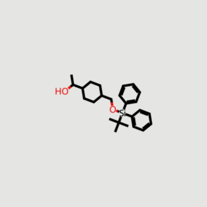 CC(O)C1CCC(CO[Si](c2ccccc2)(c2ccccc2)C(C)(C)C)CC1